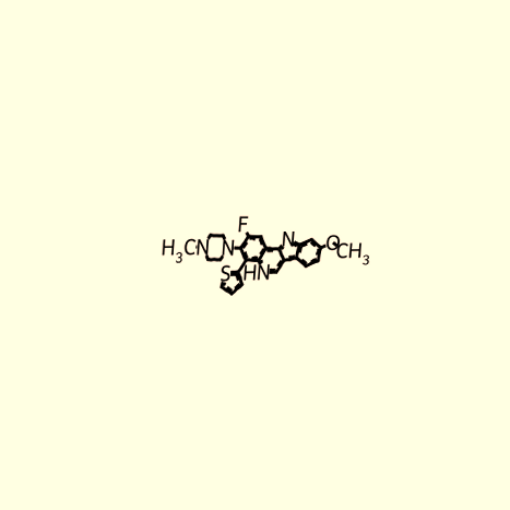 COc1ccc2c3c[nH]c4c(-c5cccs5)c(N5CCN(C)CC5)c(F)cc4c-3nc2c1